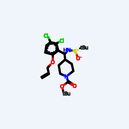 C=CCOc1ccc(Cl)c(Cl)c1C(N[S@@+]([O-])C(C)(C)C)C1CCN(C(=O)OC(C)(C)C)CC1